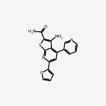 NC(=O)c1sc2nc(-c3ccco3)cc(-c3cccnc3)c2c1N